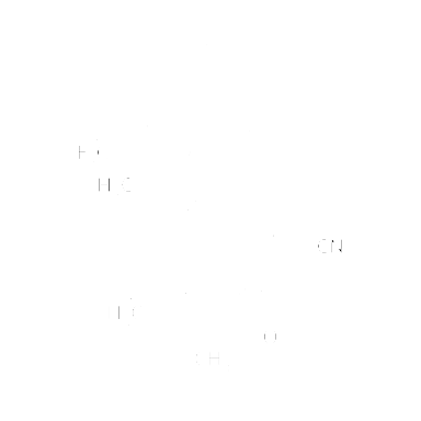 CC1(C)CC(C)(c2ccccc2C(F)(F)F)CC(C#N)C1=O